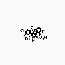 CC(C)(C)C[C@@H]1N[C@@H](C(=O)O)[C@H](c2cccc(F)c2F)[C@]12C(=O)Nc1cc(Cl)c(F)cc12